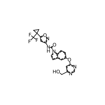 O=C(Nc1cc(C2(C(F)(F)F)CC2)on1)n1ccc2cc(Oc3cc(CO)ncn3)ccc21